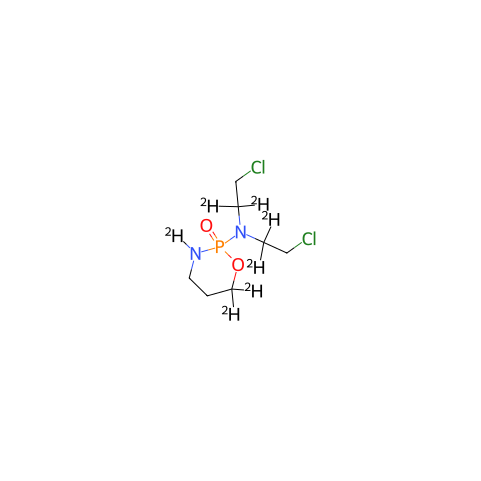 [2H]N1CCC([2H])([2H])OP1(=O)N(C([2H])([2H])CCl)C([2H])([2H])CCl